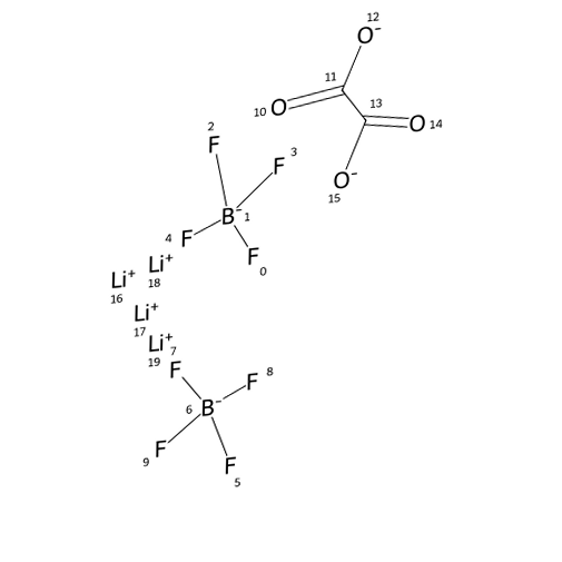 F[B-](F)(F)F.F[B-](F)(F)F.O=C([O-])C(=O)[O-].[Li+].[Li+].[Li+].[Li+]